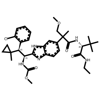 CCNC(=O)[C@H](NC(=O)C(C)(COC)c1ccc2nc([C@@H](NC(=O)OC)[C@H](c3ccccc3Cl)C3(C)CC3)[nH]c2c1)C(C)(C)C